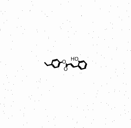 CCc1ccc(OC(=O)/C=C/c2ccccc2O)cc1